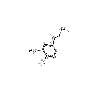 Cc1cc(OCC(F)(F)F)nnc1C